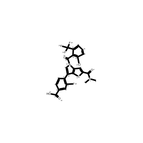 CN(C)C(=O)c1cc2c(s1)c(-c1ccc(C(=O)O)cc1F)cn2C(=O)c1c(Cl)cccc1C(F)(F)F